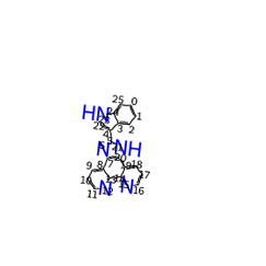 c1ccc2c(-c3nc4c5cccnc5c5ncccc5c4[nH]3)c[nH]c2c1